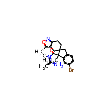 C=C(N)N(C)C(=O)C1(C)c2cc(Br)ccc2CC12CCc1noc(C)c1C2